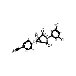 N#Cc1ccc([C@H]2C3C(=O)N(c4cc(Cl)cc(Cl)c4)C(=O)[C@H]32)cc1